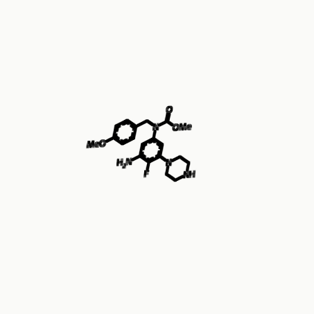 COC(=O)N(Cc1ccc(OC)cc1)c1cc(N)c(F)c(N2CCNCC2)c1